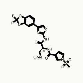 COC[C@H](NC(=O)c1ccn(S(C)(=O)=O)c1)C(=O)Nc1nc(-c2ccc3c(c2)OC(F)(F)O3)cs1